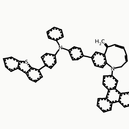 C=C1/C=C\C=C/CN(c2ccc3c4ccccc4c4ccccc4c3c2)c2ccc(-c3ccc(N(c4ccccc4)c4ccc(-c5cccc6c5sc5ccccc56)cc4)cc3)cc21